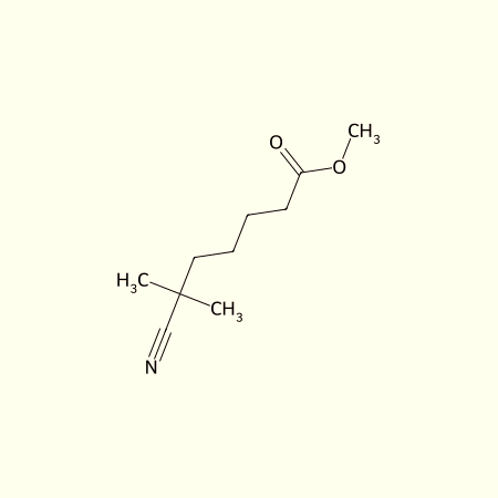 COC(=O)CCCCC(C)(C)C#N